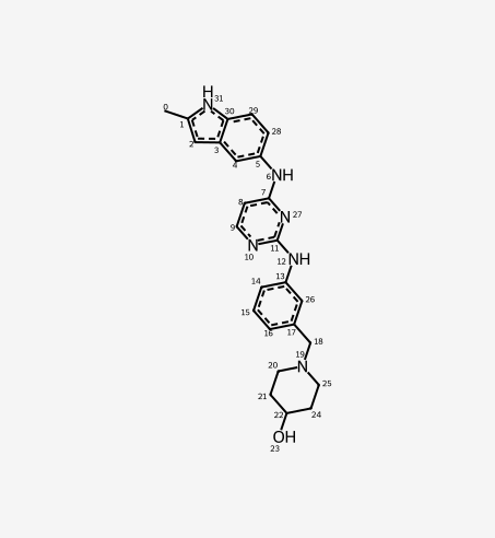 Cc1cc2cc(Nc3ccnc(Nc4cccc(CN5CCC(O)CC5)c4)n3)ccc2[nH]1